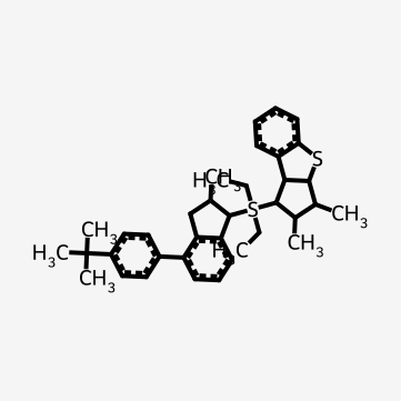 CCS(CC)(C1c2cccc(-c3ccc(C(C)(C)C)cc3)c2CC1C)C1C(C)C(C)C2Sc3ccccc3C21